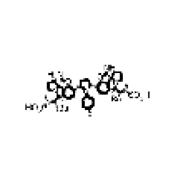 CN(C(=O)O)[C@H](C(=O)N1CCC[C@@]1(C(N)=O)c1cccc([C@H]2CC[C@H](c3cccc([C@]4(C(N)=O)CCCN4C(=O)[C@@H](N(C)C(=O)O)C(C)(C)C)c3)N2c2ccc(F)cc2)c1)C(C)(C)C